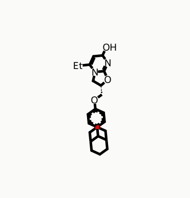 CCC1=CC(O)N=C2O[C@H](COc3ccc(C4C5CCCC4CCC5)cc3)CN12